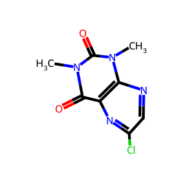 Cn1c(=O)c2nc(Cl)cnc2n(C)c1=O